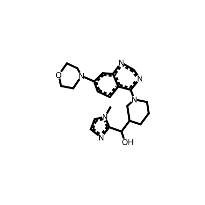 Cn1ccnc1C(O)C1CCCN(c2ncnc3cc(N4CCOCC4)ccc23)C1